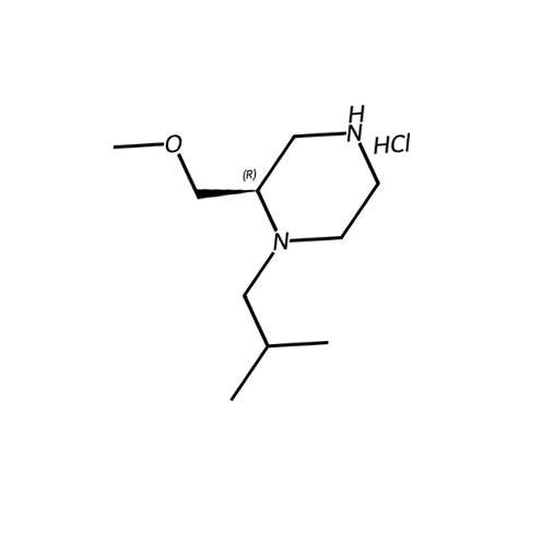 COC[C@H]1CNCCN1CC(C)C.Cl